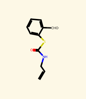 C=CCNC(=O)Sc1ccccc1[C]=O